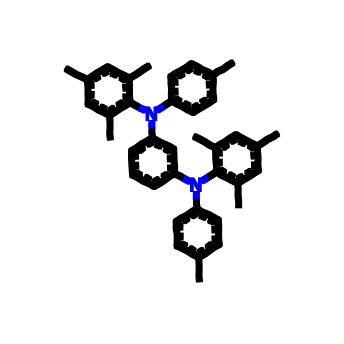 Cc1ccc(N(c2cccc(N(c3ccc(C)cc3)c3c(C)cc(C)cc3C)c2)c2c(C)cc(C)cc2C)cc1